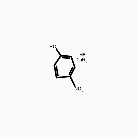 Br.O=[N+]([O-])c1ccc(O)cc1.[CaH2]